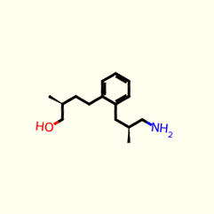 C[C@H](CO)CCc1ccccc1C[C@H](C)CN